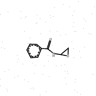 O=C(NC1CO1)c1ccccc1